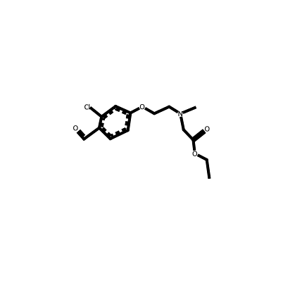 CCOC(=O)CN(C)CCOc1ccc(C=O)c(Cl)c1